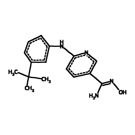 CC(C)(C)c1cccc(Nc2ccc(/C(N)=N/O)cn2)c1